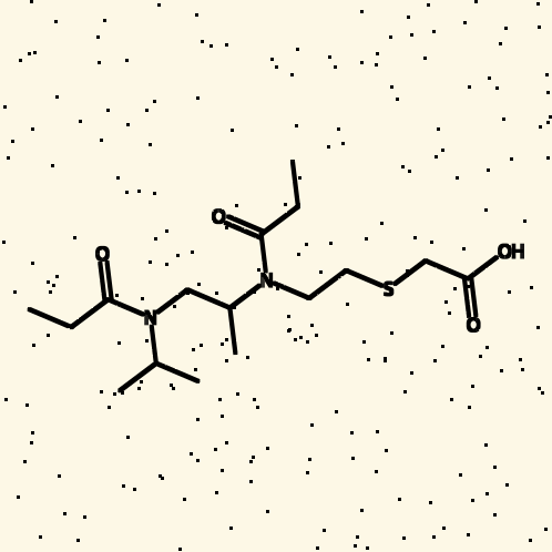 CCC(=O)N(CC(C)N(CCSCC(=O)O)C(=O)CC)C(C)C